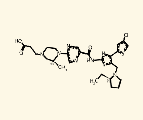 CC[C@@H]1CCCN1Cc1sc(NC(=O)c2cnc(N3CCN(CCC(=O)O)C[C@@H]3C)cn2)nc1-c1cc(Cl)cs1